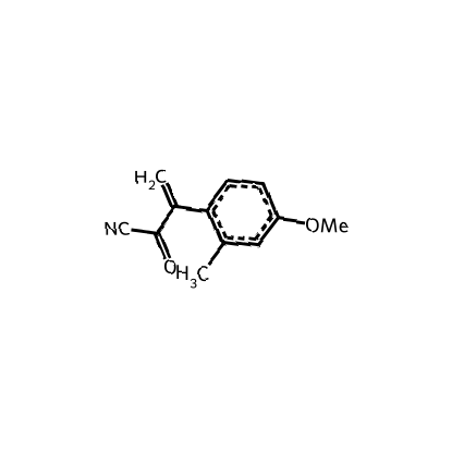 C=C(C(=O)C#N)c1ccc(OC)cc1C